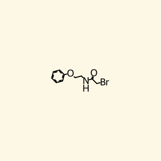 O=C(CBr)NCCOc1ccccc1